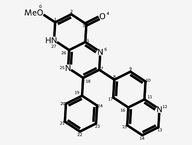 COc1cc(=O)c2nc(-c3ccc4ncccc4c3)c(-c3ccccc3)nc2[nH]1